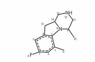 Cc1cc(F)cc2c1N1C(C)CNCC1C2